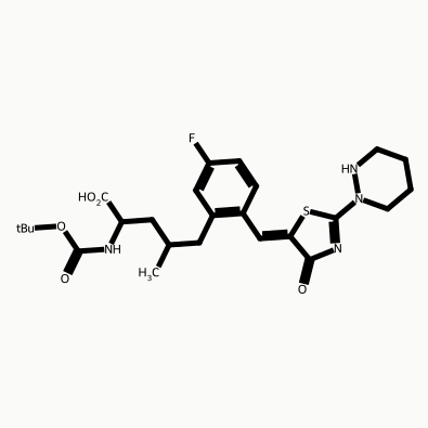 CC(Cc1cc(F)ccc1C=C1SC(N2CCCCN2)=NC1=O)CC(NC(=O)OC(C)(C)C)C(=O)O